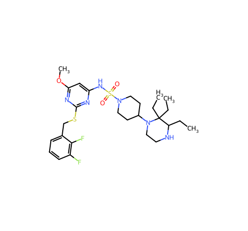 CCC1NCCN(C2CCN(S(=O)(=O)Nc3cc(OC)nc(SCc4cccc(F)c4F)n3)CC2)C1(CC)CC